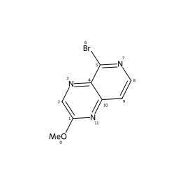 COc1cnc2c(Br)nccc2n1